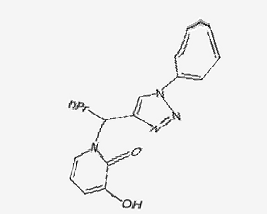 CCCC(c1cn(-c2ccccc2)nn1)n1cccc(O)c1=O